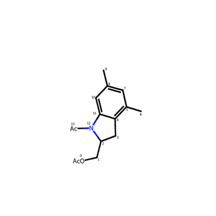 CC(=O)OCC1Cc2c(C)cc(C)cc2N1C(C)=O